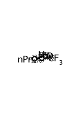 CCCC1CCC(C2CCC3C[C@H](OC(F)(F)F)CC[C@@H]3C2)CC1